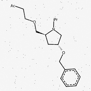 CC(=O)CCOC[C@@H]1C[C@@H](OCc2ccccc2)CN1C(C)C